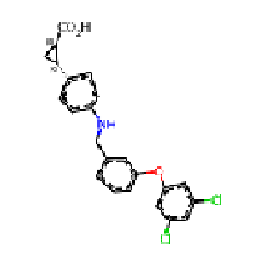 O=C(O)[C@@H]1C[C@H]1c1ccc(NCc2cccc(Oc3cc(Cl)cc(Cl)c3)c2)cc1